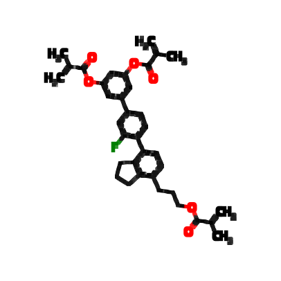 C=C(C)C(=O)OCCCc1ccc(-c2ccc(-c3cc(OC(=O)C(=C)C)cc(OC(=O)C(=C)C)c3)cc2F)c2c1CCC2